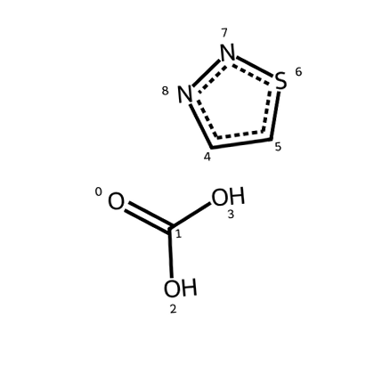 O=C(O)O.c1csnn1